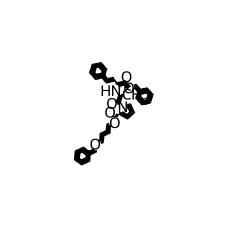 C[C@H](N[C@@H](CCc1ccccc1)C(=O)OCc1ccccc1)C(=O)N1CCC[C@H]1C(=O)OCCCCOCc1ccccc1